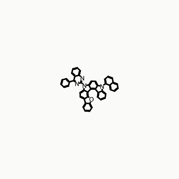 c1ccc(-c2nc(-n3c4ccc5c6ccccc6oc5c4c4c5c6ccccc6n(-c6cccc7ccccc67)c5ccc43)nc3ccccc23)cc1